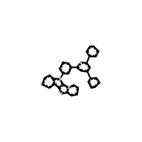 c1ccc(-c2cc(-c3ccccc3)nc(-c3cccc(-n4c5ccccc5c5nc6ccccn6c54)c3)c2)cc1